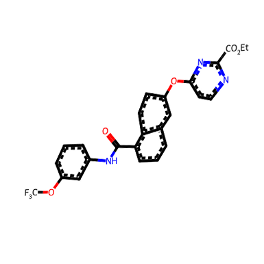 CCOC(=O)c1nccc(Oc2ccc3c(C(=O)Nc4cccc(OC(F)(F)F)c4)cccc3c2)n1